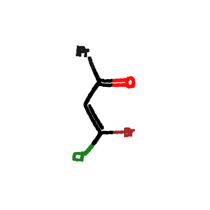 CC(C)C(=O)C=C(Cl)Br